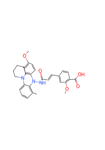 COc1ccc(N(NC(=O)C=Cc2ccc(C(=O)O)c(OC)c2)c2c(C)cccc2N2CCCCC2)cc1